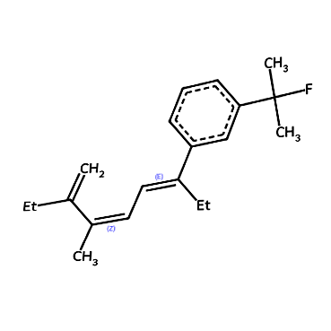 C=C(CC)/C(C)=C\C=C(/CC)c1cccc(C(C)(C)F)c1